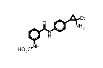 CCC1(N)CC1c1ccc(NC(=O)c2cccc(NC(=O)O)c2)cc1